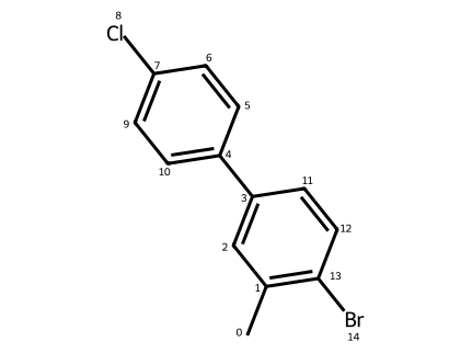 Cc1cc(-c2ccc(Cl)cc2)ccc1Br